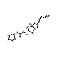 N=C/C=C\C=C1/C[C@@H]2O[C@@H](CCNCc3ccccn3)CN2C1